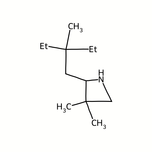 CCC(C)(CC)CC1NCC1(C)C